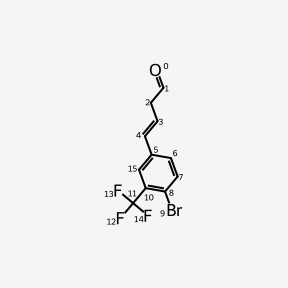 O=CCC=Cc1ccc(Br)c(C(F)(F)F)c1